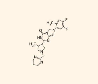 Cc1cc(F)c(F)cc1N1C=C2N=C(C3CN(Cc4ncccn4)CC3C)NC(=O)N2C1